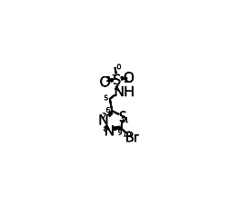 CS(=O)(=O)NCc1nnc(Br)s1